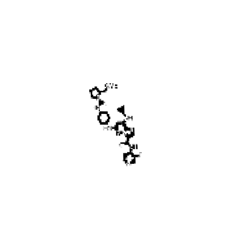 COC[C@@H]1CCCN1C(=O)N[C@H]1CC[C@H](Nc2cc(NC3CC3)c3ncc(C(=O)Nc4ccncc4F)n3n2)CC1